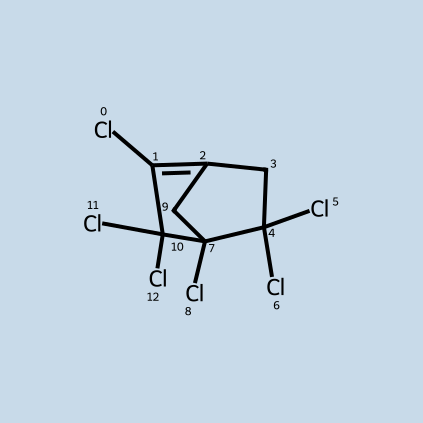 ClC1=C2CC(Cl)(Cl)C(Cl)(C2)C1(Cl)Cl